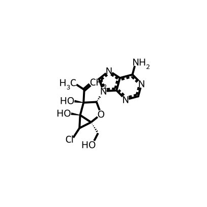 C=C(C)[C@]1(O)[C@H](n2cnc3c(N)ncnc32)O[C@@]2(CO)C(Cl)[C@@]21O